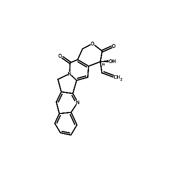 C=C[C@@]1(O)C(=O)OCc2c1cc1n(c2=O)Cc2cc3ccccc3nc2-1